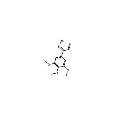 COc1cc(C(C=O)=NO)cc(OC)c1OC